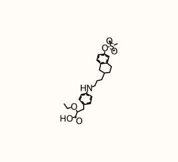 CCOC(Cc1ccc(NCCCC2CCc3cc(OS(C)(=O)=O)ccc3C2)cc1)C(=O)O